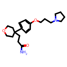 NC(=O)CCC1(c2ccc(OCCCN3CCCC3)cc2)CCOCC1